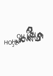 O=C(O)NCC1(CO)CCN(c2cnc3c(N4CCCc5ncccc54)nn(C4CCCCO4)c3n2)CC1